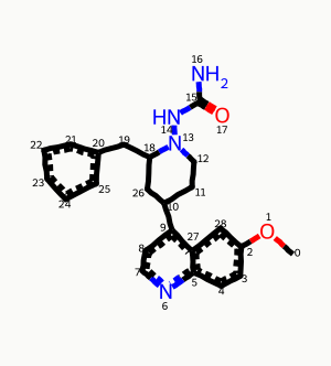 COc1ccc2nccc(C3CCN(NC(N)=O)C(Cc4ccccc4)C3)c2c1